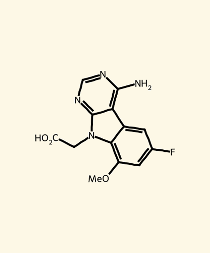 COc1cc(F)cc2c3c(N)ncnc3n(CC(=O)O)c12